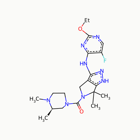 CCOc1ncc(F)c(Nc2n[nH]c3c2CN(C(=O)N2CCN(C)[C@H](C)C2)C3(C)C)n1